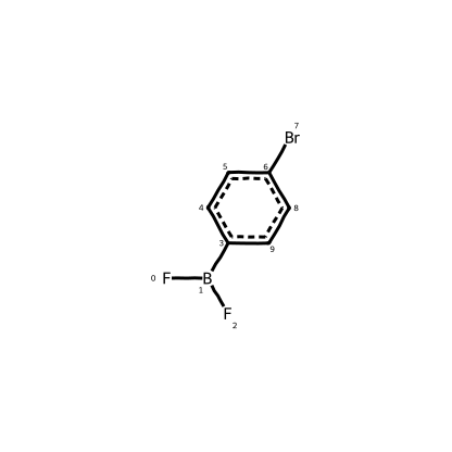 FB(F)c1ccc(Br)cc1